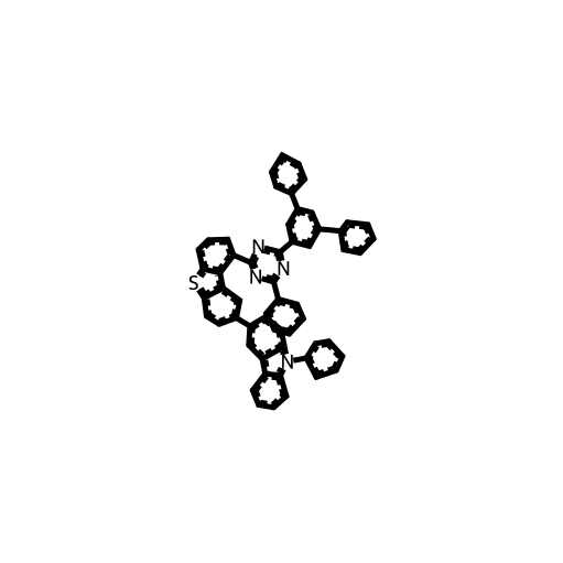 c1ccc(-c2cc(-c3ccccc3)cc(-c3nc(-c4ccccc4)nc(-c4cccc5sc6ccc(-c7ccc8c(c7)c7ccccc7n8-c7ccccc7)cc6c45)n3)c2)cc1